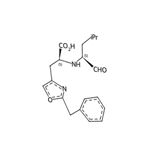 CC(C)C[C@@H](C=O)N[C@@H](Cc1coc(Cc2ccccc2)n1)C(=O)O